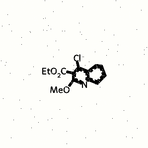 CCOC(=O)c1c(OC)nc2ccccc2c1Cl